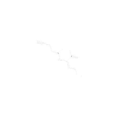 C#CCCC(=C)N/C(=C/CC(C)CC)C(=C)C